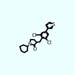 O=C1C(Cc2c(Cl)cc(-c3ccsc3)cc2Cl)CCN1C1CCCCC1